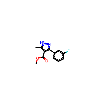 COC(=O)c1c(-c2cccc(F)c2)n[nH]c1C